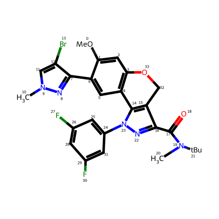 COc1cc2c(cc1-c1nn(C)cc1Br)-c1c(c(C(=O)N(C)C(C)(C)C)nn1-c1cc(F)cc(F)c1)CO2